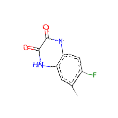 Cc1cc2c(cc1F)[N]C(=O)C(=O)N2